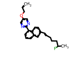 C=CCOc1cnc(-c2cccc3cc(C=CCCCC(C)F)ccc23)nc1